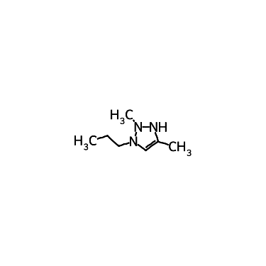 CCCN1C=C(C)NN1C